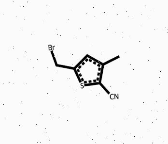 Cc1cc(CBr)sc1C#N